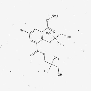 CC(C)(CO)COC(=O)c1c[c]([Na])cc(C(=O)OS(=O)(=O)O)c1CC(C)(C)CO